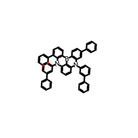 c1ccc(-c2cccc(N3c4cc(-c5ccccc5)ccc4B4c5cccc(-c6ccccc6)c5N(c5cccc(-c6ccccc6)c5)c5cccc3c54)c2)cc1